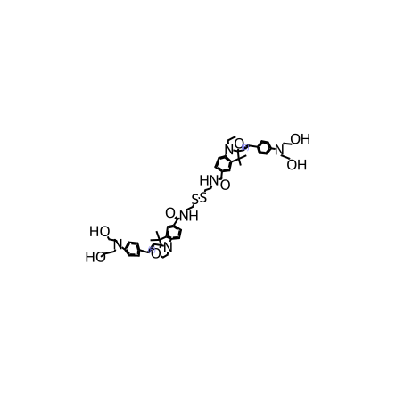 CC1(C)c2cc(C(=O)NCCSSCCNC(=O)c3ccc4c(c3)C(C)(C)C3(/C=C/c5ccc(N(CCO)CCO)cc5)OCCN43)ccc2N2CCOC21/C=C/c1ccc(N(CCO)CCO)cc1